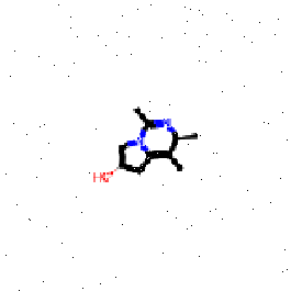 CC1=N[C@@H](C)C(C)=C2C[C@H](O)CN12